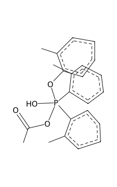 CC(=O)OP(O)(Oc1ccccc1C)(c1ccccc1C)c1ccccc1C